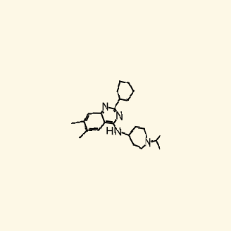 Cc1cc2nc(C3CCCCC3)nc(NC3CCN(C(C)C)CC3)c2cc1C